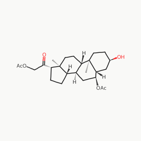 CC(=O)OCC(=O)[C@H]1CC[C@H]2[C@@H]3C[C@H](OC(C)=O)[C@H]4C[C@H](O)CC[C@]4(C)[C@H]3CC[C@]12C